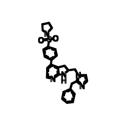 O=S(=O)(c1ccc(-c2ccnc3c2CC(Cn2ccnc2Cc2ccccc2)N3)cc1)N1CCCC1